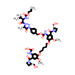 C=CCOC(=O)NC(C(=O)NC(C)C(=O)Nc1ccc(COC(=O)Nc2cc(OCCCCCOc3cc(NC(=O)O)c(C(=O)N4CC[C@H]4CO)cc3OC)c(OC)cc2C(=O)N2CC[C@H]2CO)cc1)C(C)C